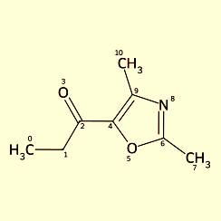 CCC(=O)c1oc(C)nc1C